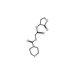 O=C(COC(=O)N1CCSCC1)OC1CCOC1=O